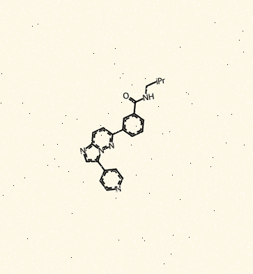 CC(C)CNC(=O)c1cccc(-c2ccc3ncc(-c4ccncc4)n3n2)c1